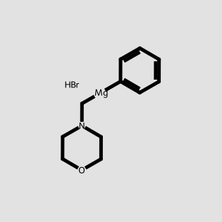 Br.c1cc[c]([Mg][CH2]N2CCOCC2)cc1